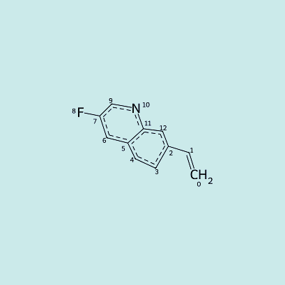 C=Cc1ccc2cc(F)cnc2c1